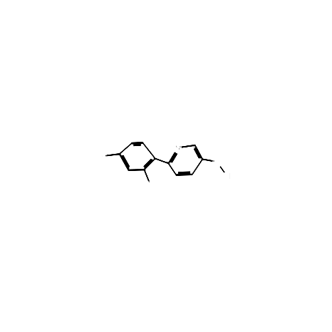 CC(C)(C)Oc1ccc(-c2ccc(C(C)(C)C)cc2F)nc1